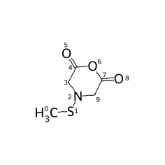 CSN1CC(=O)OC(=O)C1